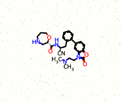 CN(C)CCn1c(=O)oc2ccc(-c3ccccc3C[C@@H](C#N)NC(=O)[C@@H]3CNCCCO3)cc21